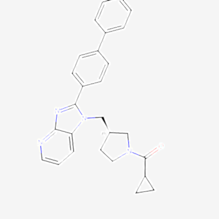 O=C(C1CC1)N1CC[C@@H](Cn2c(-c3ccc(-c4ccccc4)cc3)nc3ncccc32)C1